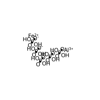 O=P([O-])(O)O.O=P([O-])(O)O.O=P([O-])(O)O.O=P([O-])(O)O.O=P([O-])(O)O.[Al+3].[Fe+2]